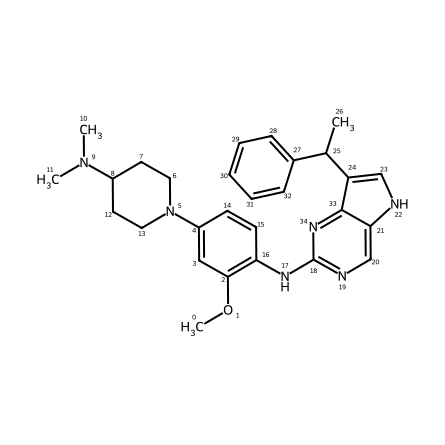 COc1cc(N2CCC(N(C)C)CC2)ccc1Nc1ncc2[nH]cc(C(C)c3ccccc3)c2n1